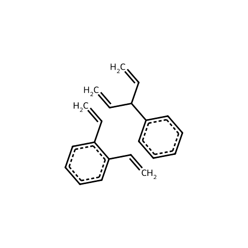 C=CC(C=C)c1ccccc1.C=Cc1ccccc1C=C